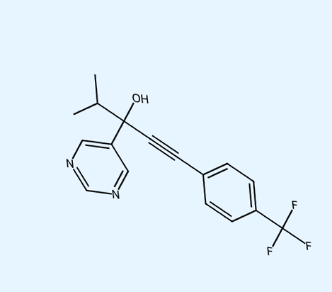 CC(C)C(O)(C#Cc1ccc(C(F)(F)F)cc1)c1cncnc1